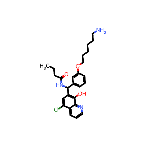 CCCC(=O)NC(c1cccc(OCCCCCCN)c1)c1cc(Cl)c2cccnc2c1O